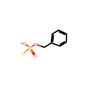 O=P(O)([S])OCc1ccccc1